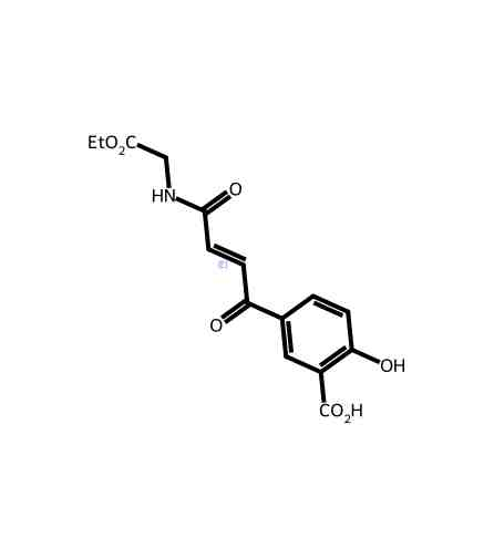 CCOC(=O)CNC(=O)/C=C/C(=O)c1ccc(O)c(C(=O)O)c1